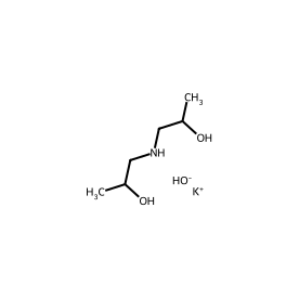 CC(O)CNCC(C)O.[K+].[OH-]